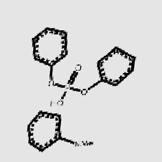 CNc1ccccc1.O=P(O)(Oc1ccccc1)Oc1ccccc1